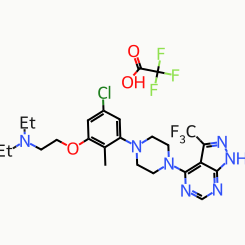 CCN(CC)CCOc1cc(Cl)cc(N2CCN(c3ncnc4[nH]nc(C(F)(F)F)c34)CC2)c1C.O=C(O)C(F)(F)F